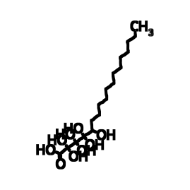 CCCCCCCCCCCCCC(O)C(O)(O)C(O)(O)C(O)(O)C(=O)O